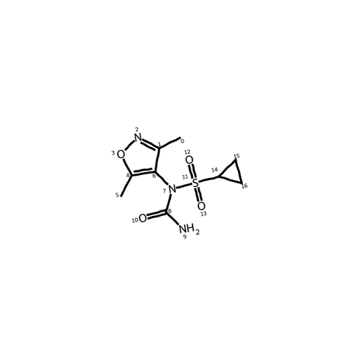 Cc1noc(C)c1N(C(N)=O)S(=O)(=O)C1CC1